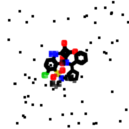 CN(C)S(=O)(=O)c1c(Cl)ccc(Nc2c(NC(c3ccccc3)C3CCCC3)c(=O)c2=O)c1O